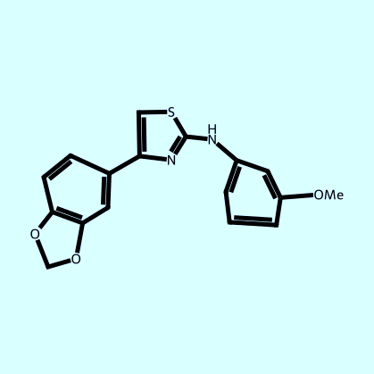 COc1cccc(Nc2nc(-c3ccc4c(c3)OCO4)cs2)c1